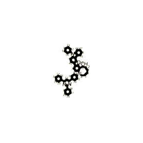 C=C1/C=C\C=C/CN(c2ccc(-c3cc(-c4ccccc4)nc(-c4ccccc4)n3)cc2)c2ccc3c(oc4c3ccc3c4c4ccccc4n3-c3ccccc3)c21